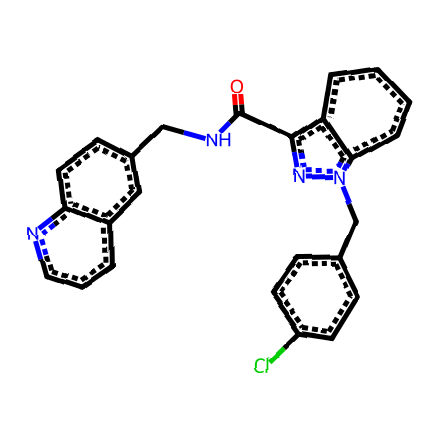 O=C(NCc1ccc2ncccc2c1)c1nn(Cc2ccc(Cl)cc2)c2ccccc12